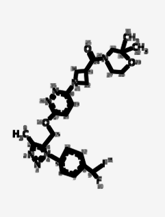 Cc1nnn(-c2ccc(C(F)F)cc2)c1COc1ccc(N2CC(C(=O)N3CCOC(C)(C)C3)C2)nn1